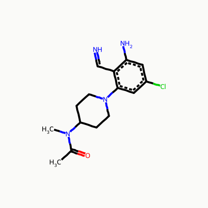 CC(=O)N(C)C1CCN(c2cc(Cl)cc(N)c2C=N)CC1